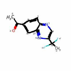 CC(=O)c1ccc2ncc(C(C)(F)F)nc2c1